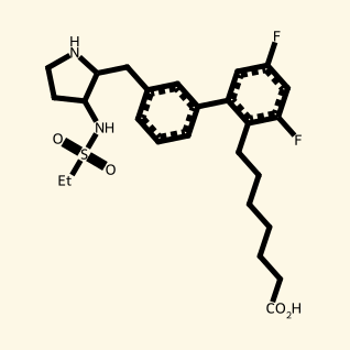 CCS(=O)(=O)NC1CCNC1Cc1cccc(-c2cc(F)cc(F)c2CCCCCCC(=O)O)c1